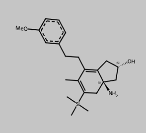 COc1cccc(CCC2=C3C[C@H](O)C[C@]3(N)CC([Si](C)(C)C)=C2C)c1